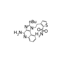 CCCCc1nc2c(N)nc3ccccc3c2n1CCc1ccsc1S(N)(=O)=O